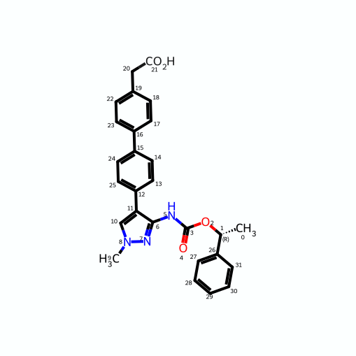 C[C@@H](OC(=O)Nc1nn(C)cc1-c1ccc(-c2ccc(CC(=O)O)cc2)cc1)c1ccccc1